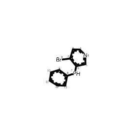 Brc1ccncc1Pc1ccccc1